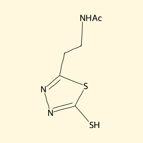 CC(=O)NCCc1nnc(S)s1